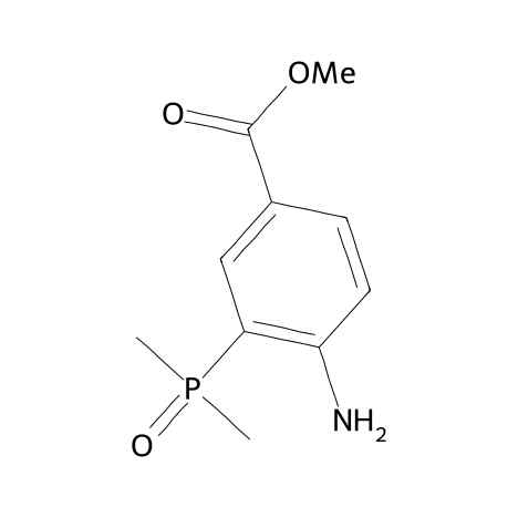 COC(=O)c1ccc(N)c(P(C)(C)=O)c1